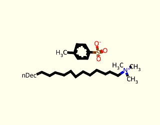 CCCCCCCCCCCCCCCCCCCCCC[N+](C)(C)C.Cc1ccc(S(=O)(=O)[O-])cc1